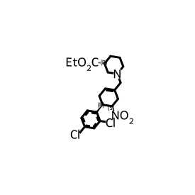 CCOC(=O)[C@@H]1CCCN(CC2=CC[C@H](c3ccc(Cl)cc3Cl)[C@@H]([N+](=O)[O-])C2)C1